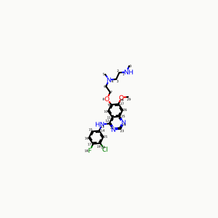 CNCCN(C)CCOc1cc2c(Nc3ccc(F)c(Cl)c3)ncnc2cc1OC